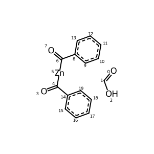 O=CO.O=[C]([Zn][C](=O)c1ccccc1)c1ccccc1